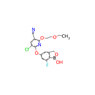 CCOCCOc1nc(Oc2cc(F)c3c(c2)COB3O)c(Cl)cc1C#N